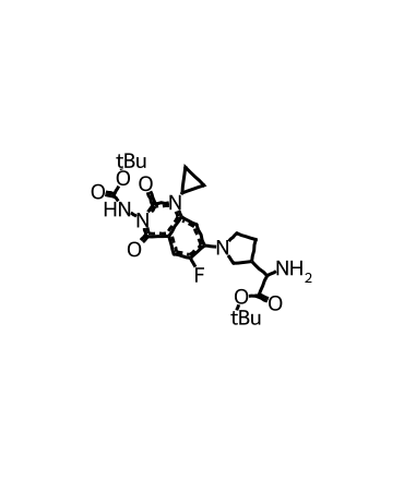 CC(C)(C)OC(=O)Nn1c(=O)c2cc(F)c(N3CCC(C(N)C(=O)OC(C)(C)C)C3)cc2n(C2CC2)c1=O